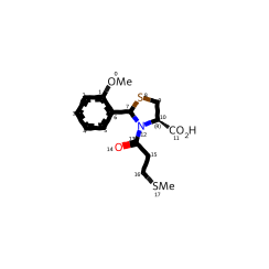 COc1ccccc1C1SC[C@@H](C(=O)O)N1C(=O)CCSC